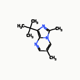 Cc1cnc2c(C(C)(C)C)nc(C)n2c1